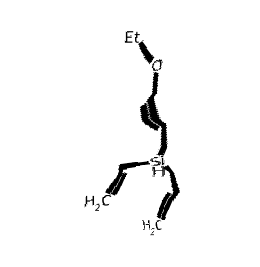 C=C[SiH](C=C)C=COCC